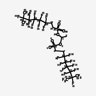 CC(OS(=O)(=O)CCC(F)(F)C(F)(F)C(F)(F)C(F)(F)C(F)(C(F)(F)F)C(F)(F)F)OS(=O)(=O)CCC(F)(F)C(F)(F)C(F)(F)C(F)(F)C(F)(C(F)(F)F)C(F)(F)F